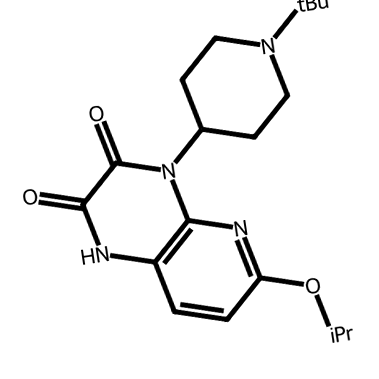 CC(C)Oc1ccc2[nH]c(=O)c(=O)n(C3CCN(C(C)(C)C)CC3)c2n1